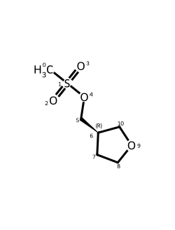 CS(=O)(=O)OC[C@@H]1CCOC1